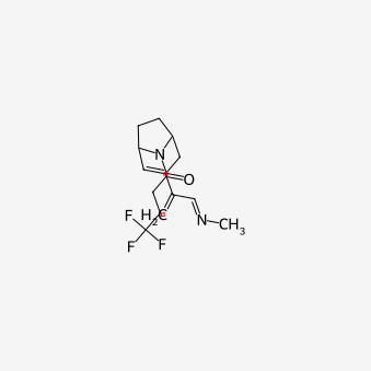 C=C(/C=N/C)C1=CC2CCC(C1)N2C(=O)CCC(F)(F)F